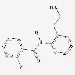 CCCc1ccccc1N(O)C(=O)c1cccnc1Cl